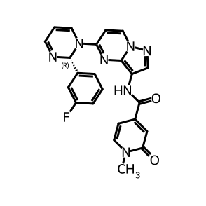 Cn1ccc(C(=O)Nc2cnn3ccc(N4C=CC=N[C@H]4c4cccc(F)c4)nc23)cc1=O